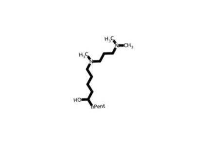 CCCCCC(O)CCCCN(C)CCCN(C)C